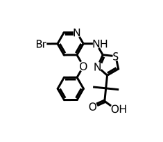 CC(C)(C(=O)O)c1csc(Nc2ncc(Br)cc2Oc2ccccc2)n1